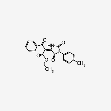 CCOC(=O)C(C(=O)c1ccccc1)=C1NC(=O)N(c2ccc(C)cc2)C1=O